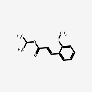 COc1ccccc1C=CC(=O)OC(C)C